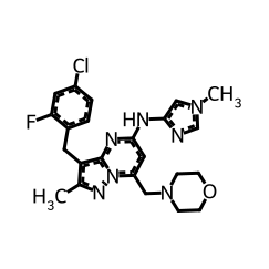 Cc1nn2c(CN3CCOCC3)cc(Nc3cn(C)cn3)nc2c1Cc1ccc(Cl)cc1F